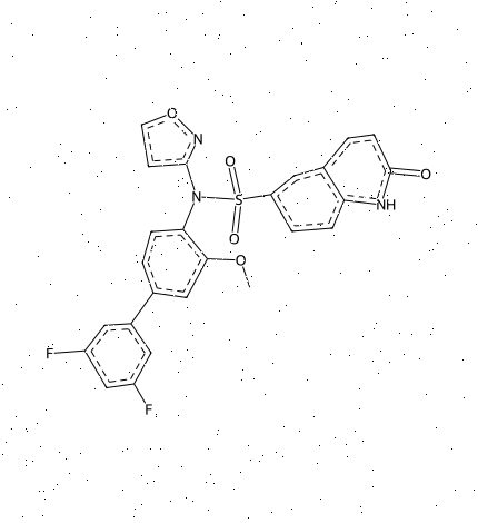 COc1cc(-c2cc(F)cc(F)c2)ccc1N(c1ccon1)S(=O)(=O)c1ccc2[nH]c(=O)ccc2c1